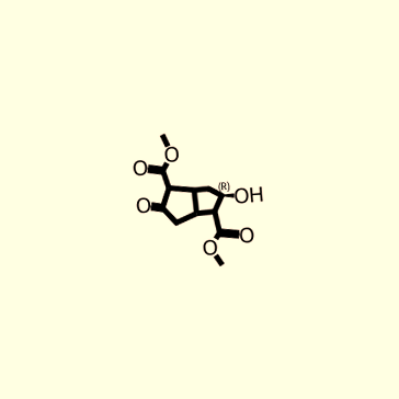 COC(=O)C1C(=O)CC2C1C[C@@H](O)C2C(=O)OC